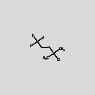 C[Si](C)(Cl)CCC(F)(F)I